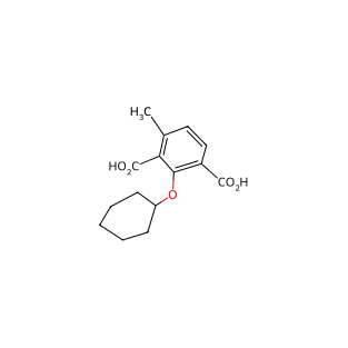 Cc1ccc(C(=O)O)c(OC2CCCCC2)c1C(=O)O